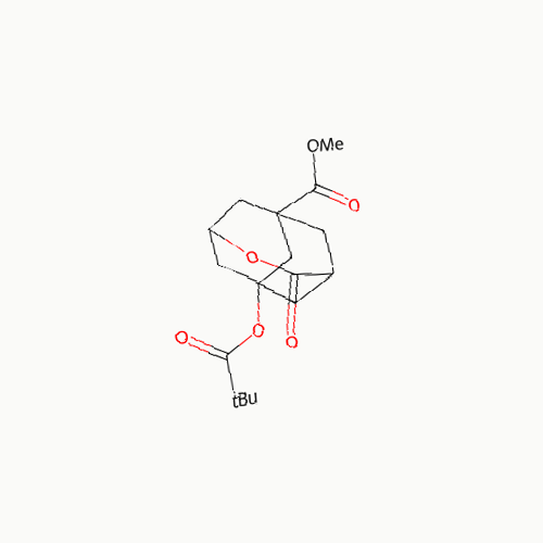 COC(=O)C12CC3CC(OC(=O)C(C)(C)C)(CC(C1)C(=O)O3)C2